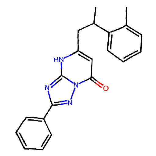 Cc1ccccc1C(C)Cc1cc(=O)n2nc(-c3ccccc3)nc2[nH]1